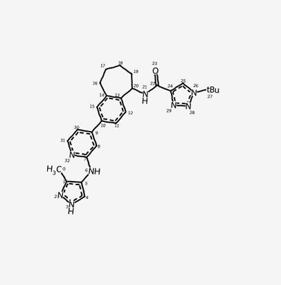 Cc1n[nH]cc1Nc1cc(-c2ccc3c(c2)CCCCC3NC(=O)c2cn(C(C)(C)C)nn2)ccn1